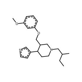 CCC(C)CN1CCC(c2ccsc2)C(COc2cccc(OC)c2)C1